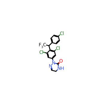 O=C1NCC=NN1c1cc(Cl)c(C(c2ccc(Cl)cc2)C(F)(F)F)c(Cl)c1